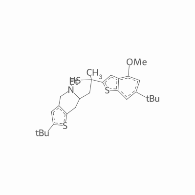 CCN1Cc2cc(C(C)(C)C)sc2CC1CC(C)(S)c1cc2c(OC)cc(C(C)(C)C)cc2s1